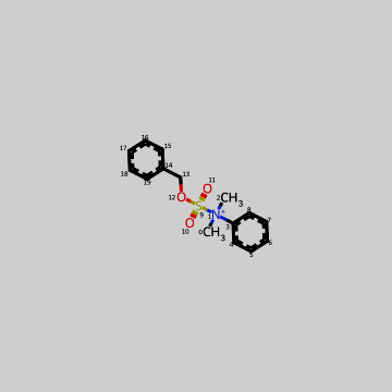 C[N+](C)(c1ccccc1)S(=O)(=O)OCc1ccccc1